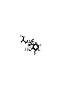 CCC(C)COS(=O)(=O)c1cccc(C)c1O